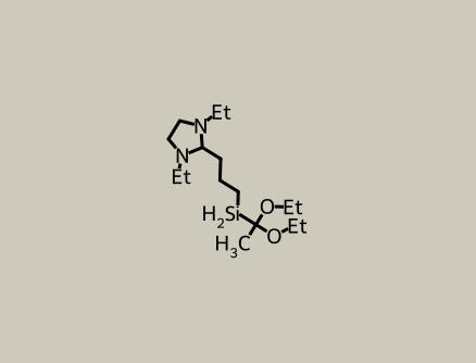 CCOC(C)(OCC)[SiH2]CCCC1N(CC)CCN1CC